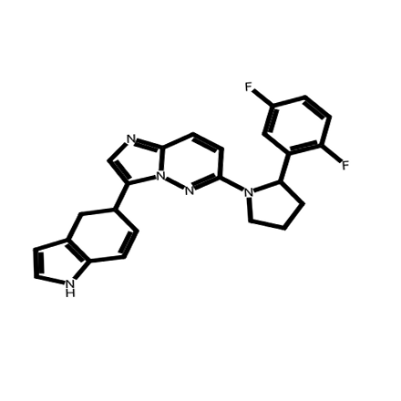 Fc1ccc(F)c(C2CCCN2c2ccc3ncc(C4C=Cc5[nH]ccc5C4)n3n2)c1